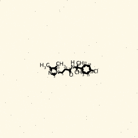 Cc1ncn(CCC(=O)NC(C)(C)c2ccc(Cl)cc2)c1C